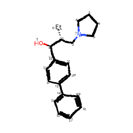 CC[C@H](CN1CCCC1)[C@H](O)c1ccc(-c2ccccc2)cc1